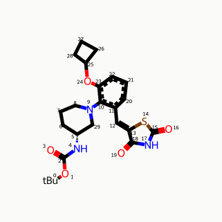 CC(C)(C)OC(=O)N[C@@H]1CCCN(c2c(/C=C3\SC(=O)NC3=O)cccc2OC2CCC2)C1